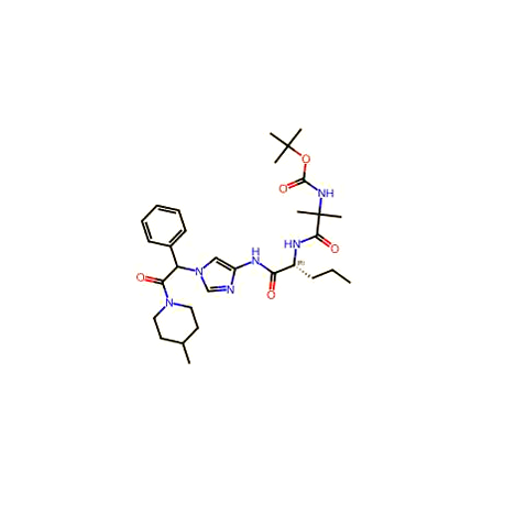 CCC[C@@H](NC(=O)C(C)(C)NC(=O)OC(C)(C)C)C(=O)Nc1cn(C(C(=O)N2CCC(C)CC2)c2ccccc2)cn1